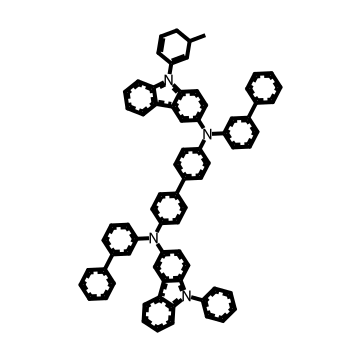 CC1C=C(n2c3ccccc3c3cc(N(c4ccc(-c5ccc(N(c6cccc(-c7ccccc7)c6)c6ccc7c(c6)c6ccccc6n7-c6ccccc6)cc5)cc4)c4cccc(-c5ccccc5)c4)ccc32)C=CC1